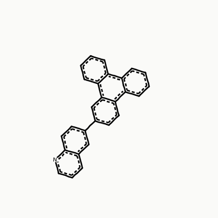 c1cnc2ccc(-c3ccc4c5ccccc5c5ccccc5c4c3)cc2c1